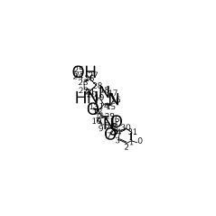 Cc1ccc(S(=O)(=O)n2ccc(C(=O)c3cncnc3N[C@@H]3C[C@H](CO)[C@@H](C)C3)c2)cc1